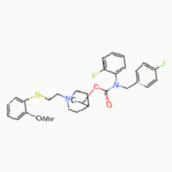 COc1ccccc1SCC[N+]12CCC(CC1)C(OC(=O)N(Cc1ccc(F)cc1)c1ccccc1F)C2